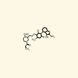 C=CC(=O)N1CCN(C=O)C(CCOc2c(C)cc(F)c(-c3cccc4sc(N)c(C#N)c34)c2Cl)C1